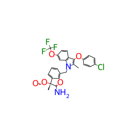 Cc1c(Oc2ccc(Cl)cc2)c2ccc(OC(F)(F)F)cc2n1Cc1cccc([C@@](C)(OC=O)C(N)=O)c1